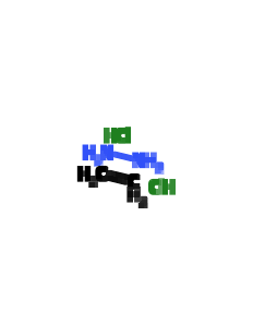 C=C.Cl.Cl.NN